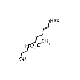 CC(=O)O.CCCCCC/C=C/CCCCCCO